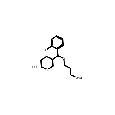 COCCCOC(c1ccccc1F)C1CCCNC1.Cl